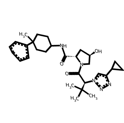 CC1(c2ccccc2)CCC(NC(=O)[C@@H]2C[C@@H](O)CN2C(=O)[C@@H](n2cc(C3CC3)nn2)C(C)(C)C)CC1